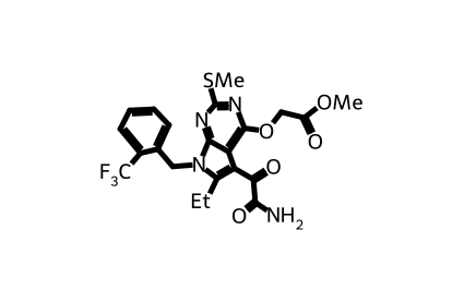 CCc1c(C(=O)C(N)=O)c2c(OCC(=O)OC)nc(SC)nc2n1Cc1ccccc1C(F)(F)F